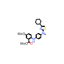 COC(=O)c1cc(OC)ccc1Nc1ccc(N(C)c2nc(C3CCCCC3)cs2)cc1